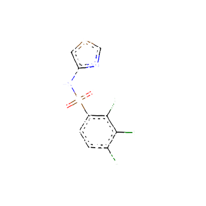 O=S(=O)(Nc1cscn1)c1ccc(F)c(F)c1F